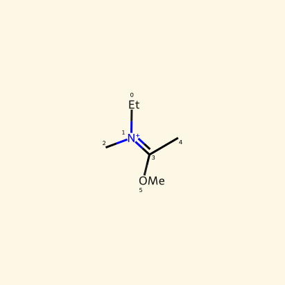 CC[N+](C)=C(C)OC